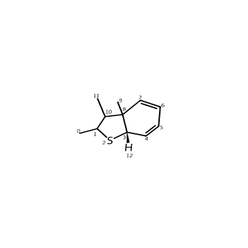 CC1S[C@H]2C=CC=CC2(C)C1C